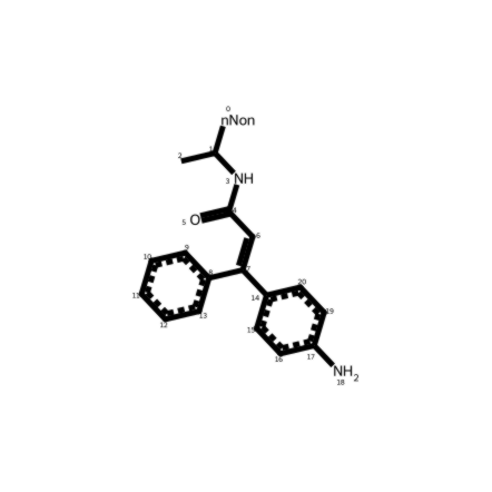 CCCCCCCCCC(C)NC(=O)/C=C(\c1ccccc1)c1ccc(N)cc1